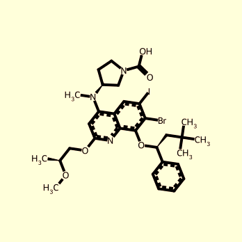 CO[C@@H](C)COc1cc(N(C)[C@H]2CCN(C(=O)O)C2)c2cc(I)c(Br)c(O[C@@H](CC(C)(C)C)c3ccccc3)c2n1